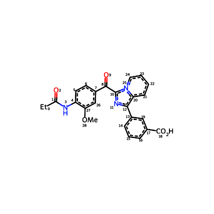 CCC(=O)Nc1ccc(C(=O)c2nc(-c3cccc(C(=O)O)c3)c3ccccn23)cc1OC